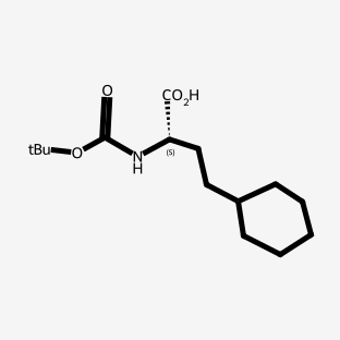 CC(C)(C)OC(=O)N[C@@H](CCC1CCCCC1)C(=O)O